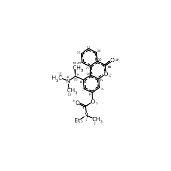 CCN(C)C(=O)Oc1cc([C@H](C)N(C)C)c2c(c1)oc(=O)c1ccccc12